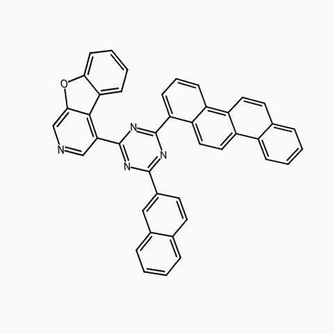 c1ccc2cc(-c3nc(-c4cccc5c4ccc4c6ccccc6ccc54)nc(-c4cncc5oc6ccccc6c45)n3)ccc2c1